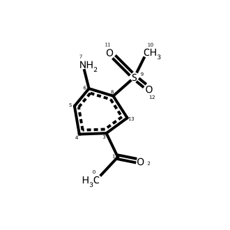 CC(=O)c1ccc(N)c(S(C)(=O)=O)c1